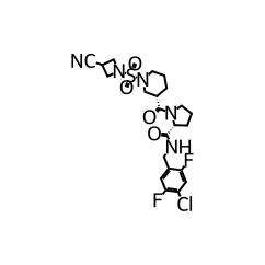 N#CC1CN(S(=O)(=O)N2CCC[C@H](C(=O)N3CCC[C@@H]3C(=O)NCc3cc(F)c(Cl)cc3F)C2)C1